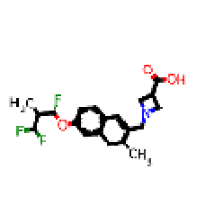 CC(C(F)F)[C@H](F)Oc1ccc2c(c1)C[C@H](C)C(CN1CC(C(=O)O)C1)=C2